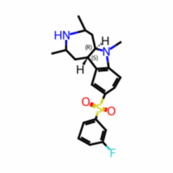 CC1C[C@@H]2[C@@H](CC(C)N1)c1cc(S(=O)(=O)c3cccc(F)c3)ccc1N2C